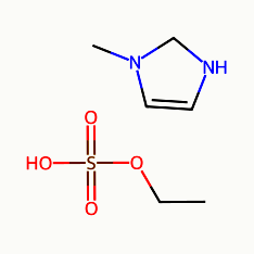 CCOS(=O)(=O)O.CN1C=CNC1